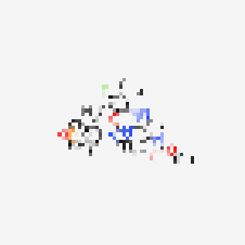 Cc1cc(-n2nc3c(c2-n2ccn(-c4ccc(P(C)(C)=O)cc4)c2=O)[C@H](C)N(C(=O)OC(C)(C)C)CC3)cc(C)c1F